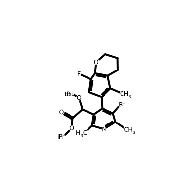 Cc1nc(C)c(C(OC(C)(C)C)C(=O)OC(C)C)c(-c2cc(F)c3c(c2C)CCCO3)c1Br